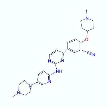 CN1CCC(Oc2ccc(-c3ccnc(Nc4ccc(N5CCN(C)CC5)cn4)n3)cc2C#N)CC1